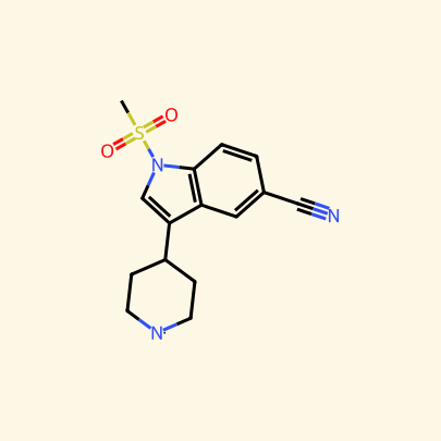 CS(=O)(=O)n1cc(C2CC[N]CC2)c2cc(C#N)ccc21